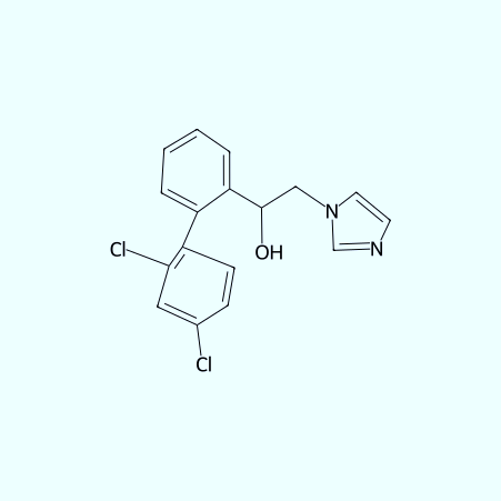 OC(Cn1ccnc1)c1ccccc1-c1ccc(Cl)cc1Cl